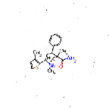 CNC(CC(c1ccccc1)C(C)(C)C(N)=O)c1sccc1C